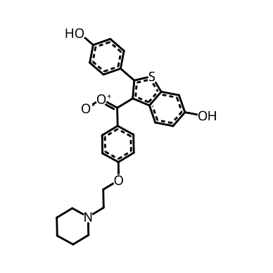 [O-][O+]=C(c1ccc(OCCN2CCCCC2)cc1)c1c(-c2ccc(O)cc2)sc2cc(O)ccc12